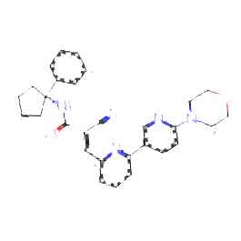 N#C/C(=C\c1cccc(-c2ccc(N3CCOCC3)nc2)n1)C(=O)NC1(c2ccccc2)CCCC1